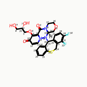 O=C1c2c(OC[C@@H](O)CO)c(=O)ccn2N([C@@H]2c3ccccc3SCc3c2ccc(F)c3F)[C@@H]2COCCN12